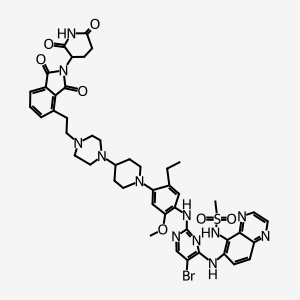 CCc1cc(Nc2ncc(Br)c(Nc3ccc4nccnc4c3NS(C)(=O)=O)n2)c(OC)cc1N1CCC(N2CCN(CCc3cccc4c3C(=O)N(C3CCC(=O)NC3=O)C4=O)CC2)CC1